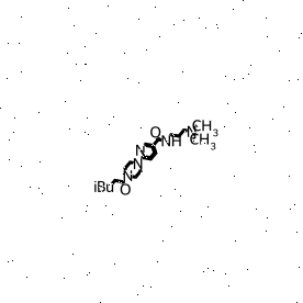 CCC(C)CC(=O)N1CCN(c2ccc(C(=O)NCCCN(C)C)cn2)CC1